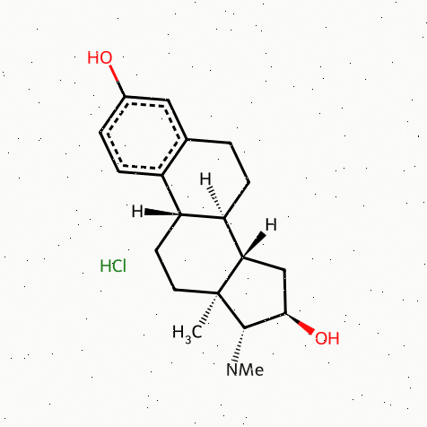 CN[C@H]1[C@H](O)C[C@H]2[C@@H]3CCc4cc(O)ccc4[C@H]3CC[C@@]21C.Cl